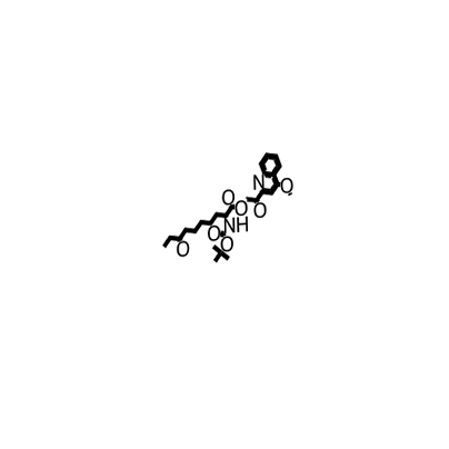 CCC(=O)CCCCCC(NC(=O)OC(C)(C)C)C(=O)OCC(=O)c1cc(OC)c2ccccc2n1